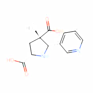 C[C@]1(C(=O)O)C[C@@H](C(=O)O)N[C@H]1c1cccnc1